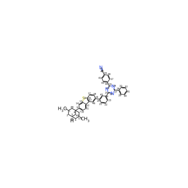 C[C@@H]1C[C@@H]2C[C@H](C)CC(c3ccc4c(c3)sc3ccc(-c5cccc(-c6nc(-c7ccccc7)nc(-c7ccc(C#N)cc7)n6)c5)cc34)(C1)C2